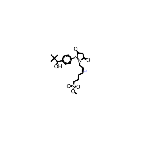 COS(=O)(=O)CCC/C=C\CN1C(=O)CC(=O)N1c1ccc(C(O)C(C)(C)C)cc1